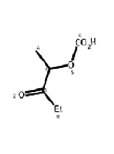 CCC(=O)C(C)OC(=O)O